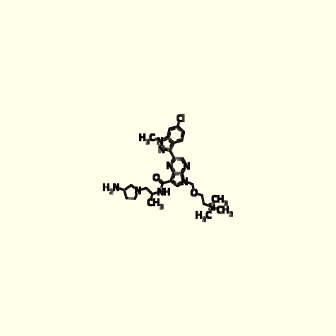 CC(CN1CCC(N)C1)NC(=O)c1cn(COCC[Si](C)(C)C)c2ncc(-c3nn(C)c4cc(Cl)ccc34)nc12